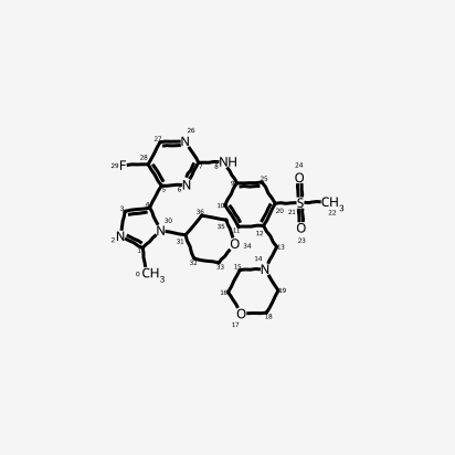 Cc1ncc(-c2nc(Nc3ccc(CN4CCOCC4)c(S(C)(=O)=O)c3)ncc2F)n1C1CCOCC1